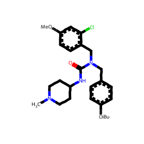 COc1ccc(CN(Cc2ccc(OCC(C)C)cc2)C(=O)NC2CCN(C)CC2)c(Cl)c1